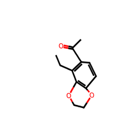 CCc1c(C(C)=O)ccc2c1OCCO2